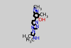 CN[C@H]1CN(c2cnc3nc(-c4cc5cn(C)nc5c(C)c4O)ccc3n2)C[C@@H]1C